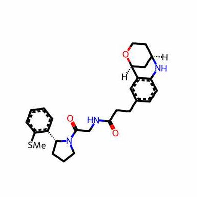 CSc1ccccc1[C@H]1CCCN1C(=O)CNC(=O)CCc1ccc2c(c1)[C@@H]1C[C@@H](CCO1)N2